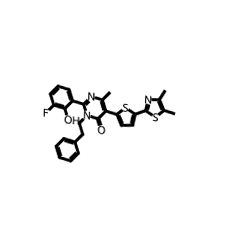 Cc1nc(-c2ccc(-c3c(C)nc(-c4cccc(F)c4O)n(CCc4ccccc4)c3=O)s2)sc1C